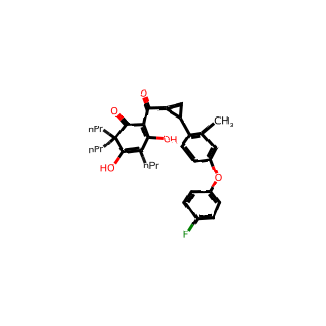 CCCC1=C(O)C(CCC)(CCC)C(=O)C(C(=O)C2CC2c2ccc(Oc3ccc(F)cc3)cc2C)=C1O